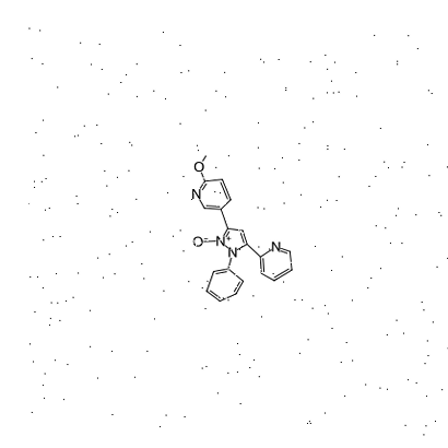 COc1ccc(-c2cc(-c3ccccn3)n(-c3ccccc3)[n+]2[O-])cn1